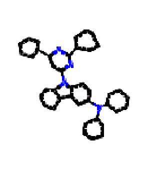 c1ccc(-c2cc(-n3c4ccccc4c4cc(N(c5ccccc5)c5ccccc5)ccc43)nc(-c3ccccc3)n2)cc1